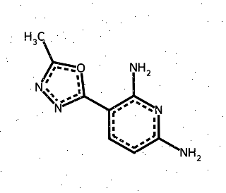 Cc1nnc(-c2ccc(N)nc2N)o1